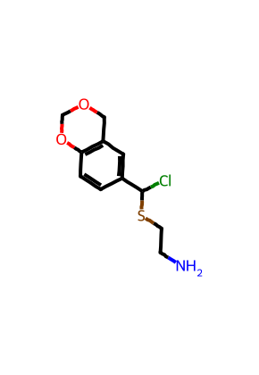 NCCSC(Cl)c1ccc2c(c1)COCO2